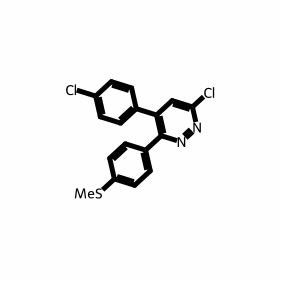 CSc1ccc(-c2nnc(Cl)cc2-c2ccc(Cl)cc2)cc1